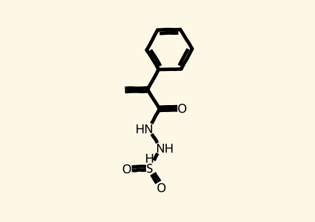 C=C(C(=O)NN[SH](=O)=O)c1ccccc1